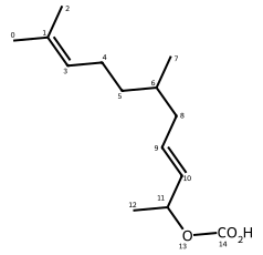 CC(C)=CCCC(C)CC=CC(C)OC(=O)O